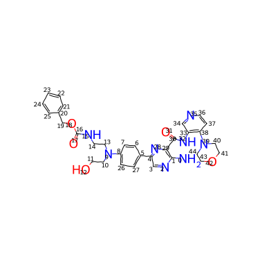 Nc1ncc(-c2ccc(N(CCO)CCNC(=O)OCc3ccccc3)cc2)nc1C(=O)Nc1cnccc1N1CCOCC1